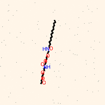 CCCCCCCCCCCCCCCC(=O)NCCOCCOCC(=O)NCCOCCOCC(C)=O